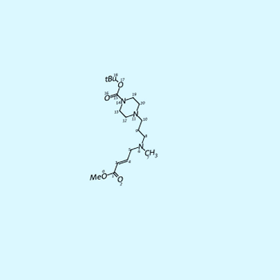 COC(=O)/C=C/CN(C)CCCN1CCN(C(=O)OC(C)(C)C)CC1